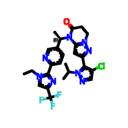 CCn1cc(C(F)(F)F)nc1-c1ccc([C@@H](C)N2C(=O)CCn3nc(-c4c(Cl)cnn4C(C)C)cc32)cn1